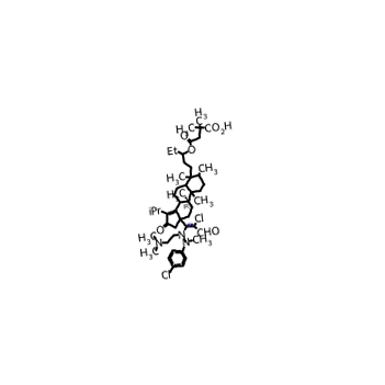 CCC(CCC1(C)C(C)CCC2(C)C1CCC1C3=C(C(C)C)C(=O)CC3(/C(=C(\Cl)C=O)N(CCN(C)C)N(C)c3ccc(Cl)cc3)CC[C@]12C)OC(=O)CC(C)(C)C(=O)O